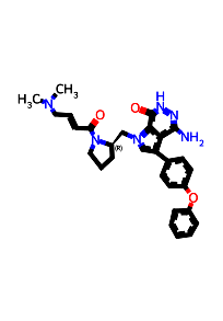 CN(C)CC=CC(=O)N1CCC[C@@H]1Cn1cc(-c2ccc(Oc3ccccc3)cc2)c2c(N)n[nH]c(=O)c21